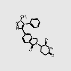 Cn1nnc(-c2ccc3c(c2)CN(C2CCC(=O)NC2=O)C3=O)c1-c1ccccc1